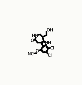 N#CCOc1cc(Cl)c(Cl)c2[nH]c3c(c12)CC(=O)NCC3CCO